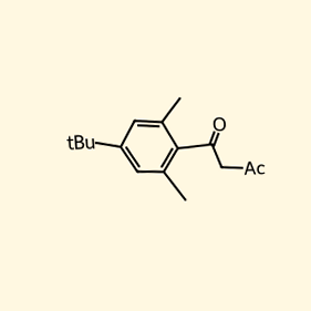 CC(=O)CC(=O)c1c(C)cc(C(C)(C)C)cc1C